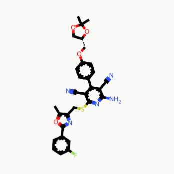 Cc1oc(-c2cccc(F)c2)nc1CSc1nc(N)c(C#N)c(-c2ccc(OC[C@@H]3COC(C)(C)O3)cc2)c1C#N